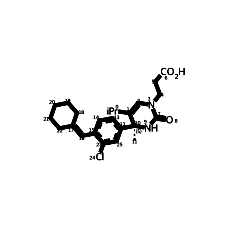 CC(C)C1=CN(CCC(=O)O)C(=O)N[C@@]1(C)c1ccc(C=C2CCCCC2)c(Cl)c1